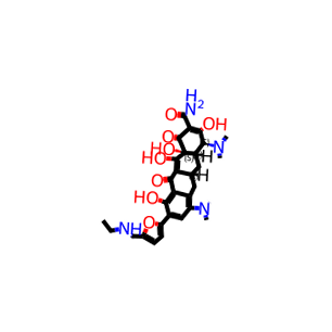 CCNCc1ccc(-c2cc(N(C)C)c3c(c2O)C(=O)C2=C(O)[C@]4(O)C(=O)C(C(N)=O)=C(O)[C@@H](N(C)C)[C@@H]4C[C@@H]2C3)o1